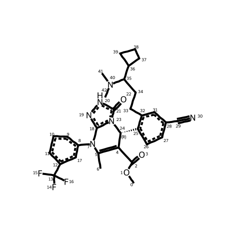 COC(=O)C1=C(C)N(c2cccc(C(F)(F)F)c2)c2n[nH]c(=O)n2[C@@H]1c1ccc(C#N)cc1CCC(C1CCC1)N(C)C